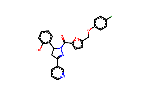 O=C(c1ccc(COc2ccc(F)cc2)o1)N1N=C(c2cccnc2)CC1c1ccccc1O